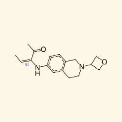 C/C=C(/Nc1ccc2c(c1)CCN(C1COC1)C2)C(C)=O